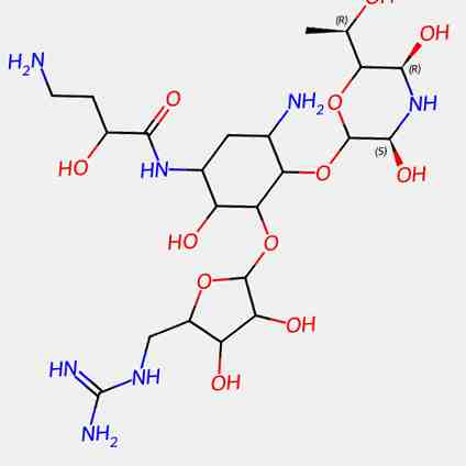 C[C@@H](O)C1OC(OC2C(N)CC(NC(=O)C(O)CCN)C(O)C2OC2OC(CNC(=N)N)C(O)C2O)[C@H](O)N[C@@H]1O